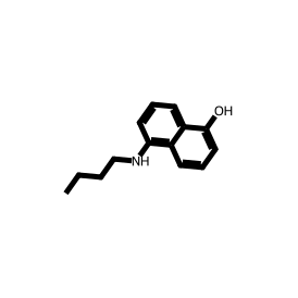 CCCCNc1cccc2c(O)cccc12